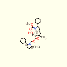 CC(C)(C)OC(=O)N1[C@@H](CO)C(CC(C)(C)OCOCN2[C@@H](C=O)CC[C@H]2C2CCCCC2)C[C@H]1C1CCCCC1